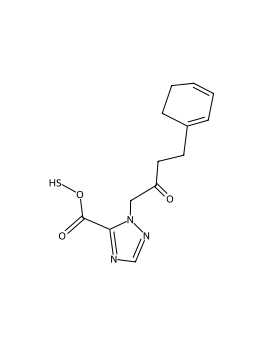 O=C(CCC1=CC=CCC1)Cn1ncnc1C(=O)OS